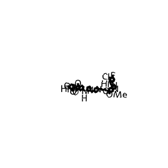 COc1cc2ncnc(Nc3ccc(F)c(Cl)c3)c2cc1OCCCN1CCC(CN2CCC[C@H](Nc3ccc4c(c3)C(=O)N(C3CCC(=O)NC3=O)C4=O)C2)CC1